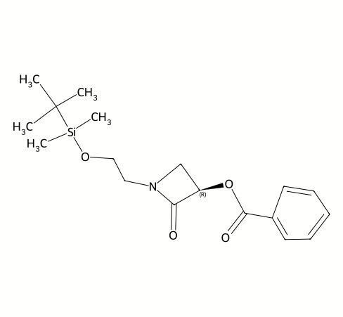 CC(C)(C)[Si](C)(C)OCCN1C[C@@H](OC(=O)c2ccccc2)C1=O